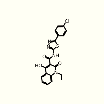 CCn1c(=O)c(C(=O)Nc2nnc(-c3ccc(Cl)cc3)s2)c(O)c2ccccc21